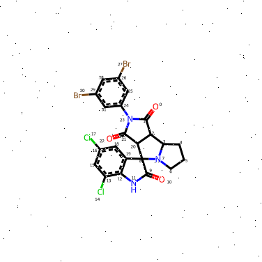 O=C1C2C3CCCN3C3(C(=O)Nc4c(Cl)cc(Cl)cc43)C2C(=O)N1c1cc(Br)cc(Br)c1